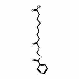 O=C(O)CCCCCCCC(=O)OCOC(=O)c1ccccc1